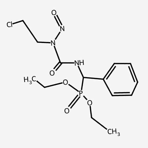 CCOP(=O)(OCC)C(NC(=O)N(CCCl)N=O)c1ccccc1